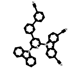 N#Cc1cccc(-c2cccc(-c3cc(-n4c5ccccc5c5ccccc54)nc(-n4c5ccc(C#N)cc5c5cc(C#N)ccc54)c3)c2)c1